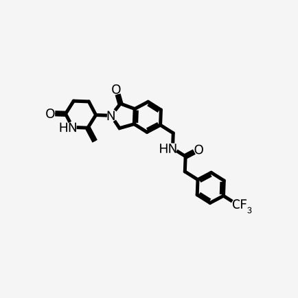 C=C1NC(=O)CCC1N1Cc2cc(CNC(=O)Cc3ccc(C(F)(F)F)cc3)ccc2C1=O